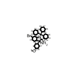 COc1ccc(C2(N)C(=O)N(C(c3ccccc3)(c3ccccc3)c3ccccc3)c3cc(Br)ccc32)cc1